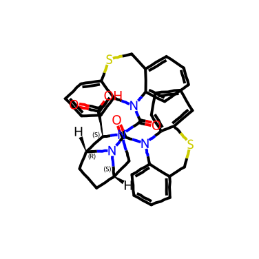 O=C(O)[C@@H]1[C@H]2CC[C@@H](CN1C(=O)N1c3ccccc3CSc3ccccc31)N2C(=O)N1c2ccccc2CSc2ccccc21